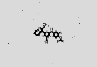 CCc1nn2ccccc2c1-c1cc(C#N)cc(Nc2ccc(OC(F)F)c(F)c2)n1